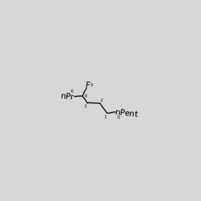 CCCCCCCCC(F)CCC